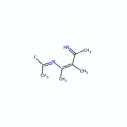 CC(=N)/C(C)=C(C)\N=C(/C)F